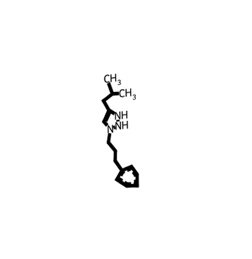 CC(C)CC1=CN(CCCc2ccccc2)NN1